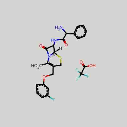 NC(C(=O)NC1C(=O)N2C(C(=O)O)=C(COc3cccc(F)c3)CS[C@@H]12)c1ccccc1.O=C(O)C(F)(F)F